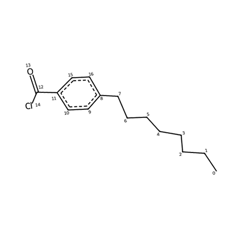 CCCCCCCCc1ccc(C(=O)Cl)cc1